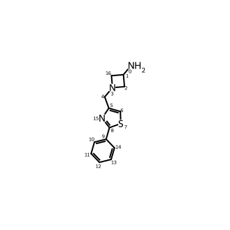 NC1CN(Cc2csc(-c3ccccc3)n2)C1